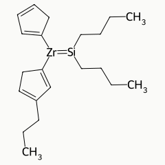 CCCC[Si](CCCC)=[Zr]([C]1=CC=CC1)[C]1=CC(CCC)=CC1